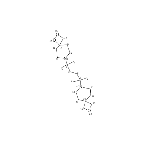 CC(C)(CCC(C)(C)N1CCC2(CC1)COO2)N1CCC2(CC1)COC2